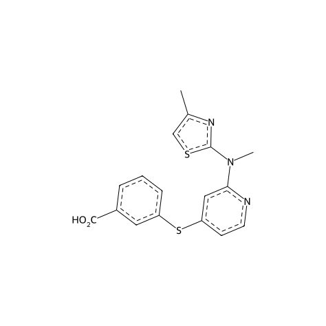 Cc1csc(N(C)c2cc(Sc3cccc(C(=O)O)c3)ccn2)n1